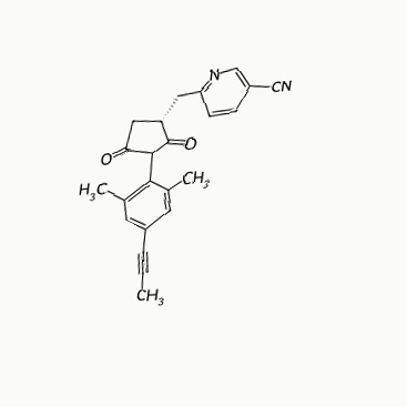 CC#Cc1cc(C)c(C2C(=O)C[C@H](Cc3ccc(C#N)cn3)C2=O)c(C)c1